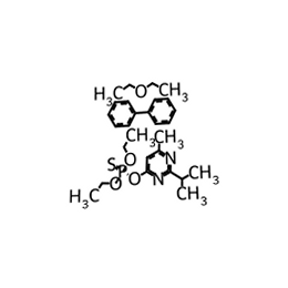 CCOCC.CCOP(=S)(OCC)Oc1cc(C)nc(C(C)C)n1.c1ccc(-c2ccccc2)cc1